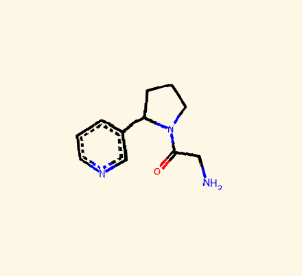 NCC(=O)N1CCCC1c1cccnc1